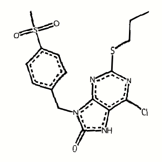 CCCSc1nc(Cl)c2[nH]c(=O)n(Cc3ccc(S(C)(=O)=O)cc3)c2n1